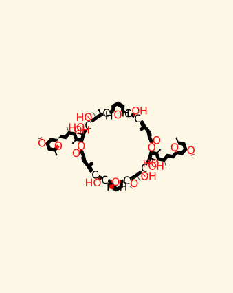 CO[C@H]1CC(CC[C@H](C)[C@H](O)[C@H](C)[C@H]2OC(=O)/C=C/C(C)=C/C[C@H](O)C[C@@H]3C=CC[C@@H](C[C@H](C)[C@@H](C)[C@@H](O)C[C@@H](O)[C@H](C)[C@@H]([C@@H](C)[C@@H](O)[C@@H](C)CC[C@H]4C[C@H](OC)C[C@H](C)O4)OC(=O)/C=C/C(C)=C/C[C@H](O)C[C@@H]4C=CC[C@@H](C[C@H](OC)[C@@H](C)[C@@H](O)C[C@@H](O)[C@@H]2C)O4)O3)O[C@@H](C)C1